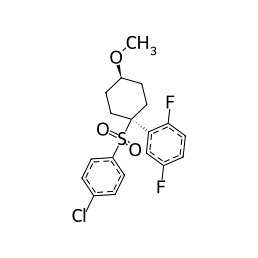 CO[C@H]1CC[C@@](c2cc(F)ccc2F)(S(=O)(=O)c2ccc(Cl)cc2)CC1